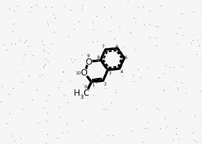 CC1=Cc2ccccc2OO1